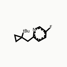 CC(C)(C)C1(Cc2ccc(F)cn2)CC1